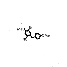 COc1ccc(Cc2cc(Br)c(OC)cc2C#N)cc1